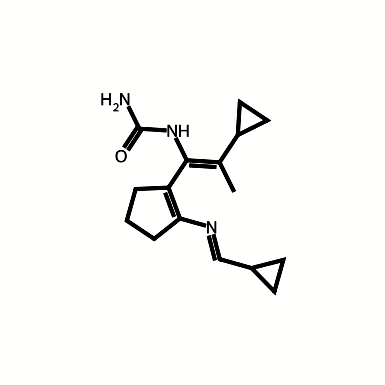 C/C(=C(/NC(N)=O)C1=C(/N=C/C2CC2)CCC1)C1CC1